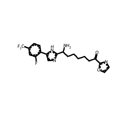 NC(CCCCCC(=O)c1ncco1)c1ncc(-c2ccc(C(F)(F)F)cc2F)[nH]1